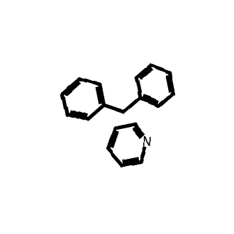 c1ccc(Cc2ccccc2)cc1.c1ccncc1